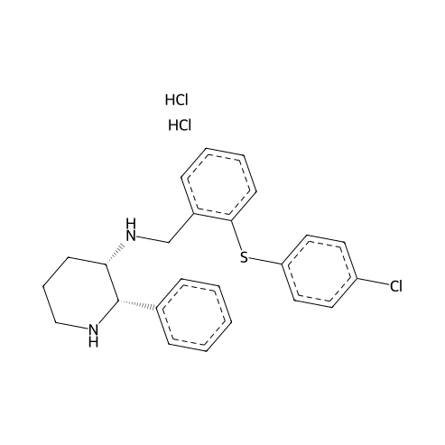 Cl.Cl.Clc1ccc(Sc2ccccc2CN[C@H]2CCCN[C@H]2c2ccccc2)cc1